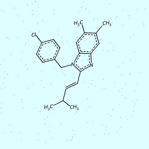 Cc1cc2nc(/C=C/C(C)C)n(Cc3ccc(Cl)cc3)c2cc1C